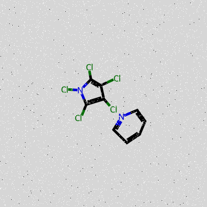 Clc1c(Cl)c(Cl)n(Cl)c1Cl.c1ccncc1